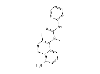 Cc1cnc2c(N)cccc2c1N(C)C(=O)Nc1ccccc1